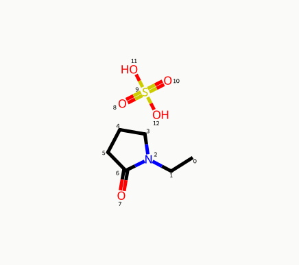 CCN1CCCC1=O.O=S(=O)(O)O